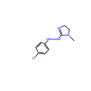 CN1CCN=C1NNc1ccc(Cl)cc1